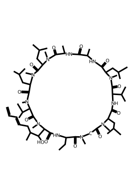 C=CC=CCC(C)C(O)C1C(=O)NC(CC)C(=O)N(C)CC(=O)N(C)C(CC(C)C)C(=O)NC(C(C)C)C(=O)N(C)C(CC(C)C)C(=O)NC(C)C(=O)NC(C)C(=O)N(C)C(CC(C)C)C(=O)N(C)C(CC(C)C)C(=O)N(C)C(C(C)C)C(=O)N1C